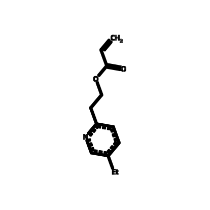 C=CC(=O)OCCc1ccc(CC)cn1